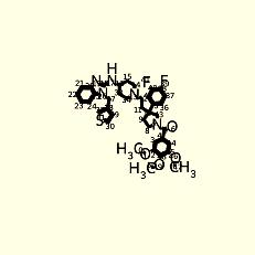 COc1cc(C(=O)N2CCC(CCN3CCC(Nc4nc5ccccc5n4Cc4ccsc4)CC3)(c3ccc(F)c(F)c3)C2)cc(OC)c1OC